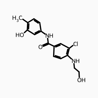 Cc1ccc(NC(=O)c2ccc(NCCO)c(Cl)c2)cc1O